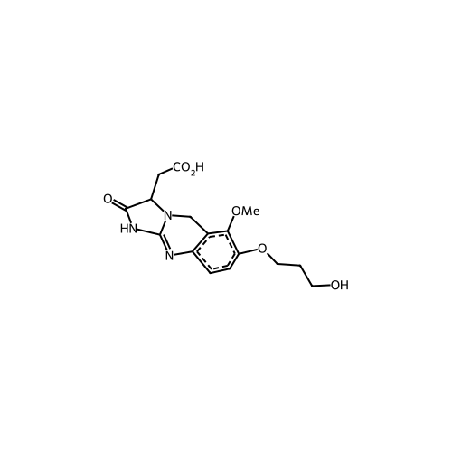 COc1c(OCCCO)ccc2c1CN1C(=N2)NC(=O)C1CC(=O)O